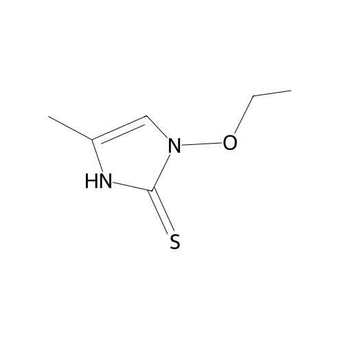 CCOn1cc(C)[nH]c1=S